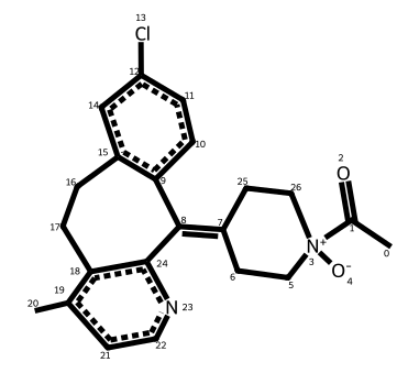 CC(=O)[N+]1([O-])CCC(=C2c3ccc(Cl)cc3CCc3c(C)ccnc32)CC1